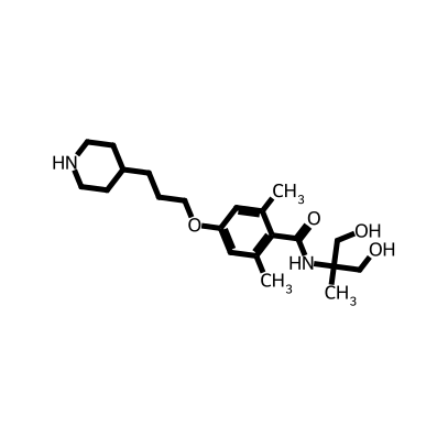 Cc1cc(OCCCC2CCNCC2)cc(C)c1C(=O)NC(C)(CO)CO